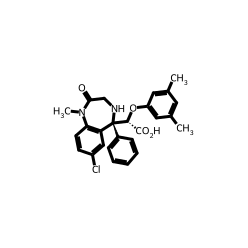 Cc1cc(C)cc(O[C@H](C(=O)O)[C@@]2(c3ccccc3)NCC(=O)N(C)c3ccc(Cl)cc32)c1